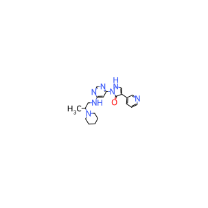 CC(CNc1cc(-n2[nH]cc(-c3cccnc3)c2=O)ncn1)N1CCCCC1